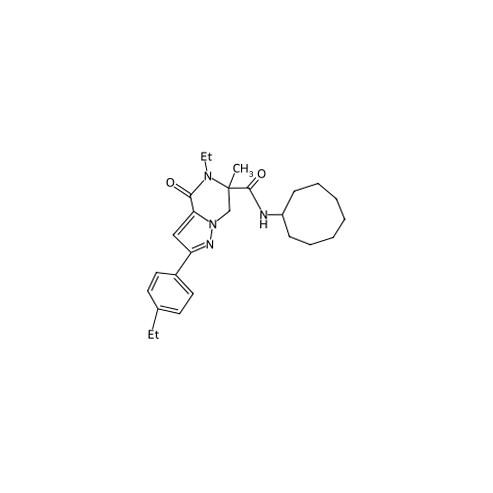 CCc1ccc(-c2cc3n(n2)CC(C)(C(=O)NC2CCCCCCC2)N(CC)C3=O)cc1